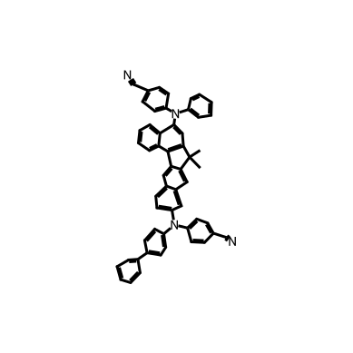 CC1(C)c2cc3cc(N(c4ccc(C#N)cc4)c4ccc(-c5ccccc5)cc4)ccc3cc2-c2c1cc(N(c1ccccc1)c1ccc(C#N)cc1)c1ccccc21